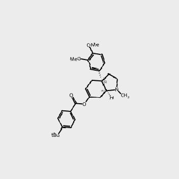 COc1ccc([C@@]23CC=C(OC(=O)c4ccc(C(C)(C)C)cc4)C[C@@H]2N(C)CC3)cc1OC